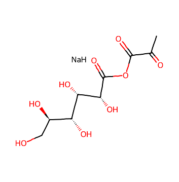 CC(=O)C(=O)OC(=O)[C@H](O)[C@@H](O)[C@H](O)[C@H](O)CO.[NaH]